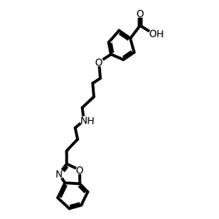 O=C(O)c1ccc(OCCCCNCCCc2nc3ccccc3o2)cc1